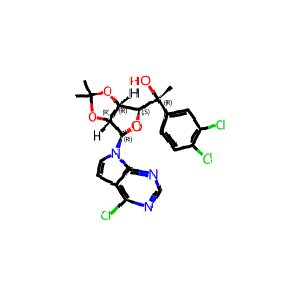 CC1(C)O[C@@H]2[C@H](O1)[C@@H]([C@](C)(O)c1ccc(Cl)c(Cl)c1)O[C@H]2n1ccc2c(Cl)ncnc21